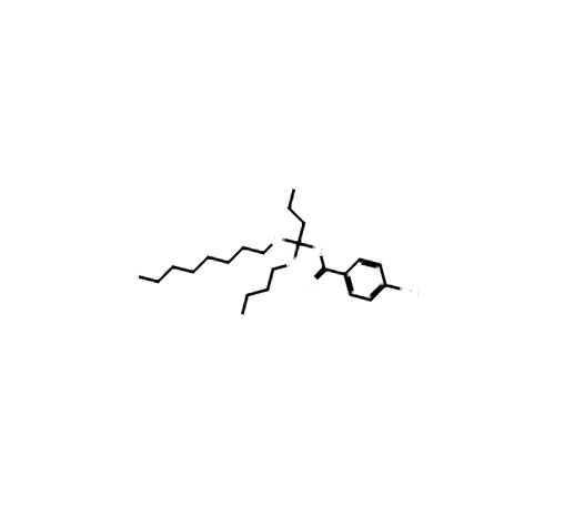 CCCCCCCCOC(CCC)(OCCCC)OC(=O)c1ccc(O)cc1